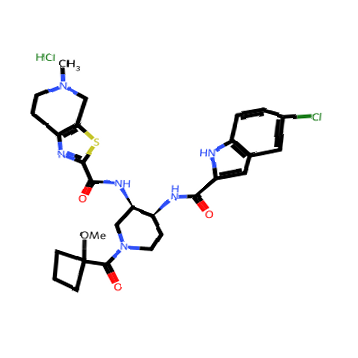 COC1(C(=O)N2CC[C@H](NC(=O)c3cc4cc(Cl)ccc4[nH]3)[C@H](NC(=O)c3nc4c(s3)CN(C)CC4)C2)CCC1.Cl